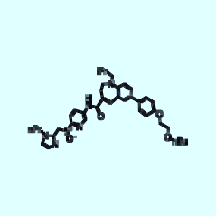 CCCCOCCOc1ccc(-c2ccc3c(c2)C=C(C(=O)Nc2ccc([S+]([O-])Cc4nccn4CCC)nc2)CCN3CC(C)C)cc1